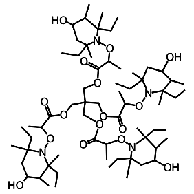 CCC1(C)CC(O)C(C)C(C)(CC)N1OC(C)C(=O)OCC(COC(=O)C(C)ON1C(C)(CC)CC(O)C(C)C1(C)CC)(COC(=O)C(C)ON1C(C)(CC)CC(O)C(C)C1(C)CC)COC(=O)C(C)ON1C(C)(CC)CC(O)C(C)C1(C)CC